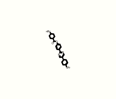 CCCCC1CCC(C(=O)Oc2ccc(-c3ncc(C4CCC(CCC)CC4)cn3)cc2)CC1